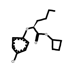 CCCC[C@H](Oc1ccc(Cl)cc1)C(=O)OC1CCC1